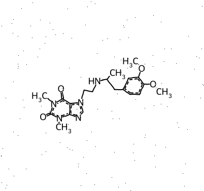 COc1ccc(CC(C)NCCn2cnc3c2c(=O)n(C)c(=O)n3C)cc1OC